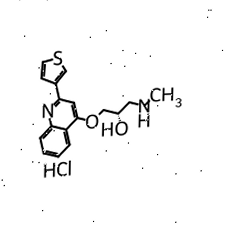 CNC[C@H](O)COc1cc(-c2ccsc2)nc2ccccc12.Cl